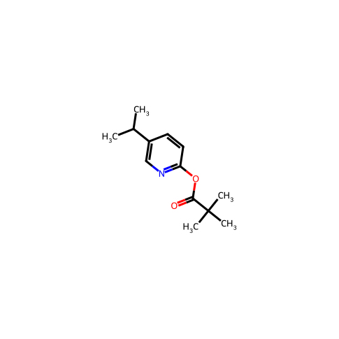 CC(C)c1ccc(OC(=O)C(C)(C)C)nc1